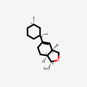 CC(=O)O[C@H]1OC[C@@H]2C=C([C@@]3(C)CCC[C@H](C)C3)CC[C@H]12